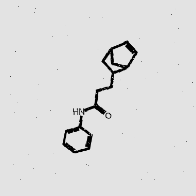 O=C(CCC1CC2C=CC1C2)Nc1ccccc1